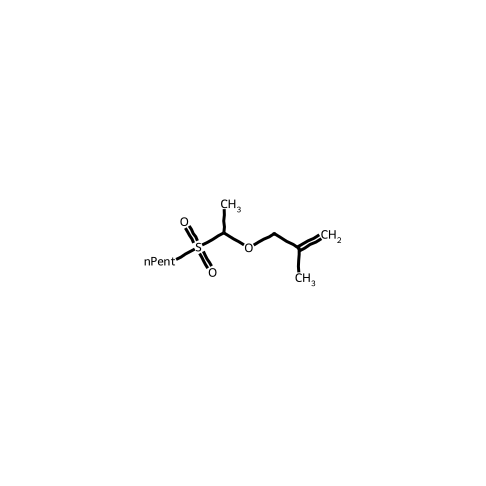 C=C(C)COC(C)S(=O)(=O)CCCCC